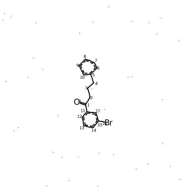 O=C(CCCc1ccccc1)c1cccc(Br)c1